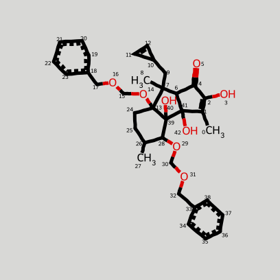 CC1=C(O)C(=O)C2C(C)(CC3C=C3)C3(OCOCc4ccccc4)CCC(C)C(OCOCc4ccccc4)C3(O)C12O